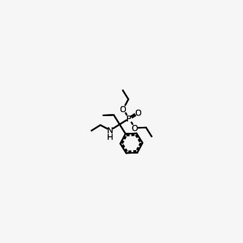 CCNC(CC)(c1ccccc1)P(=O)(OCC)OCC